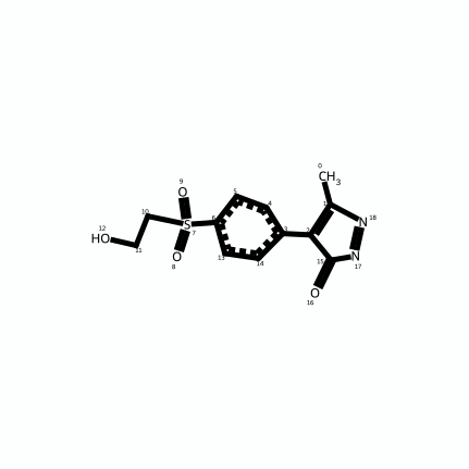 CC1=C(c2ccc(S(=O)(=O)CCO)cc2)C(=O)N=N1